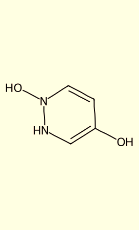 OC1=CNN(O)C=C1